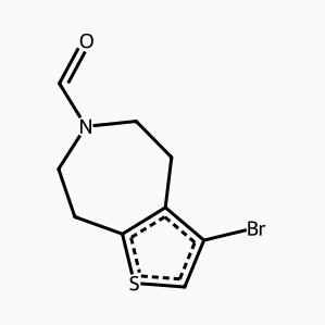 O=CN1CCc2scc(Br)c2CC1